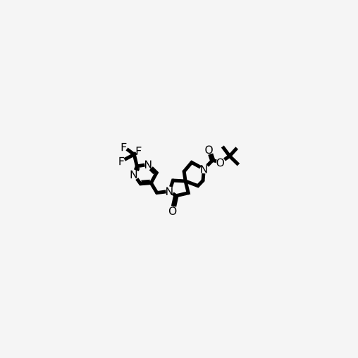 CC(C)(C)OC(=O)N1CCC2(CC1)CC(=O)N(Cc1cnc(C(F)(F)F)nc1)C2